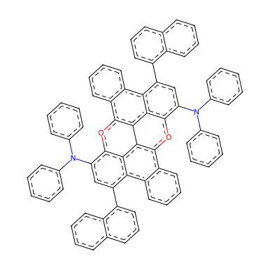 c1ccc(N(c2ccccc2)c2cc(-c3cccc4ccccc34)c3c4ccccc4c4oc5c(N(c6ccccc6)c6ccccc6)cc(-c6cccc7ccccc67)c6c7ccccc7c7oc2c3c4-c7c56)cc1